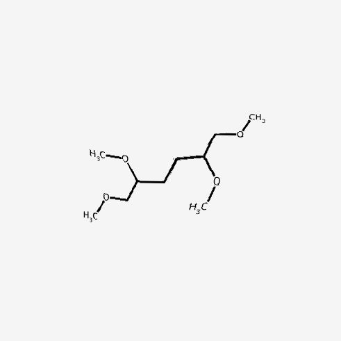 COCC([CH]CC(COC)OC)OC